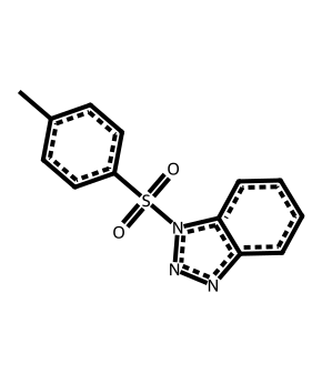 Cc1ccc(S(=O)(=O)n2nnc3ccccc32)cc1